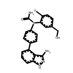 NC(=O)N(c1ccc(-c2cccc3[nH]nc(N)c23)cc1)c1cc(CO)ccc1F